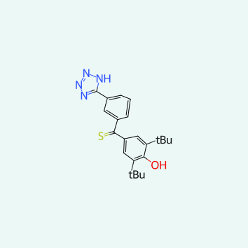 CC(C)(C)c1cc(C(=S)c2cccc(-c3nnn[nH]3)c2)cc(C(C)(C)C)c1O